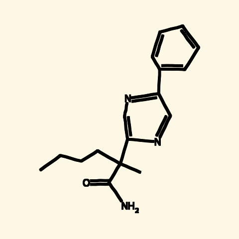 CCCCC(C)(C(N)=O)c1cnc(-c2ccccc2)cn1